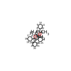 C[Si](C)(O[Si](C)(C)c1ccccc1)O[Si](c1ccccc1)(c1ccccc1)c1ccccc1